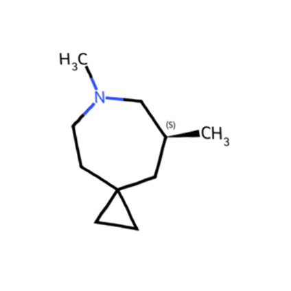 C[C@@H]1CN(C)CCC2(CC2)C1